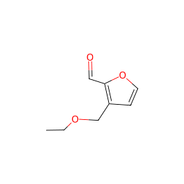 CCOCc1ccoc1C=O